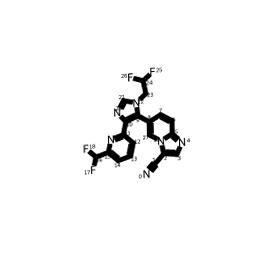 N#Cc1cnc2ccc(-c3c(-c4cccc(C(F)F)n4)ncn3CC(F)F)cn12